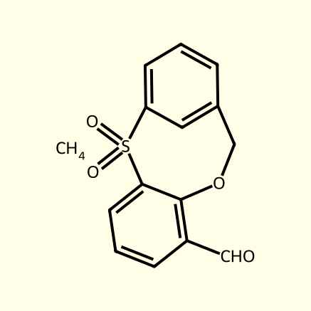 C.O=Cc1cccc2c1OCc1cccc(c1)S2(=O)=O